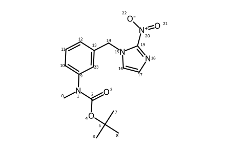 CN(C(=O)OC(C)(C)C)c1cccc(Cn2ccnc2[N+](=O)[O-])c1